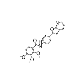 COc1ccc(C(=O)Nc2ccc(-c3cc4cccnc4o3)cc2)c(OC)c1OC